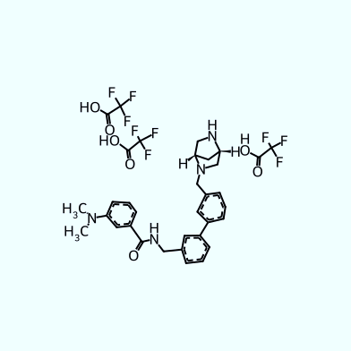 CN(C)c1cccc(C(=O)NCc2cccc(-c3cccc(CN4C[C@@H]5C[C@H]4CN5)c3)c2)c1.O=C(O)C(F)(F)F.O=C(O)C(F)(F)F.O=C(O)C(F)(F)F